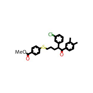 COC(=O)c1ccc(SCCCC(C(=O)c2ccc(C)c(C)c2)c2cccc(Cl)c2)cc1